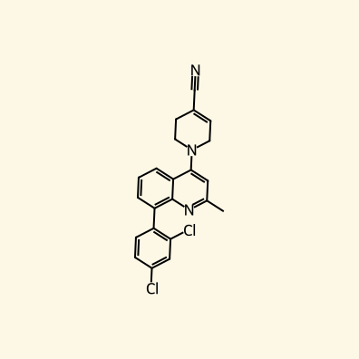 Cc1cc(N2CC=C(C#N)CC2)c2cccc(-c3ccc(Cl)cc3Cl)c2n1